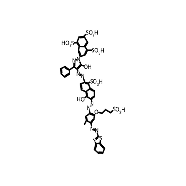 Cc1cc(N=Nc2ccc3c(S(=O)(=O)O)c(N=Nc4c(-c5ccccc5)nn(-c5cc(S(=O)(=O)O)c6cc(S(=O)(=O)O)cc(S(=O)(=O)O)c6c5)c4O)ccc3c2O)c(OCCCS(=O)(=O)O)cc1N=Nc1nc2ccccc2s1